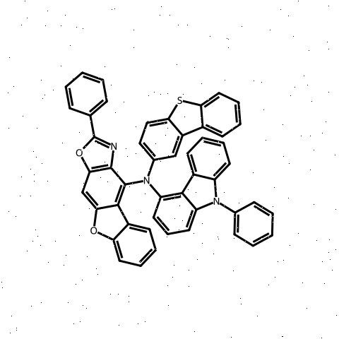 c1ccc(-c2nc3c(N(c4ccc5sc6ccccc6c5c4)c4cccc5c4c4ccccc4n5-c4ccccc4)c4c(cc3o2)oc2ccccc24)cc1